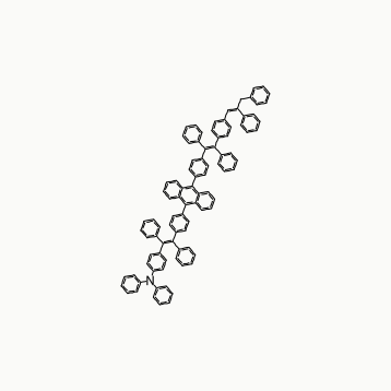 C(=C(\Cc1ccccc1)c1ccccc1)/c1ccc(/C(=C(\c2ccccc2)c2ccc(-c3c4ccccc4c(-c4ccc(/C(=C(\c5ccccc5)c5ccc(N(c6ccccc6)c6ccccc6)cc5)c5ccccc5)cc4)c4ccccc34)cc2)c2ccccc2)cc1